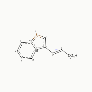 O=C(O)/C=C/c1csc2ccccc12